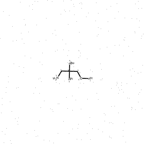 CCCCC(CN)(CCC)COCCC